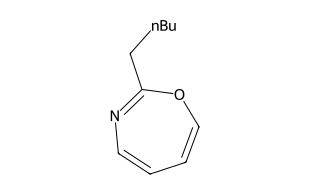 CCCCCC1=NC=CC=CO1